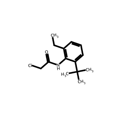 CCc1cccc(C(C)(C)C)c1NC(=O)CCl